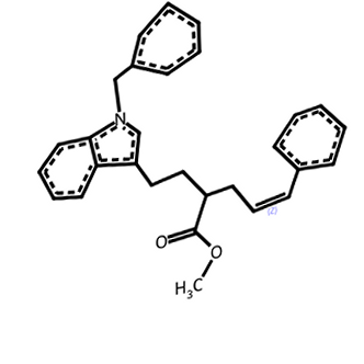 COC(=O)C(C/C=C\c1ccccc1)CCc1cn(Cc2ccccc2)c2ccccc12